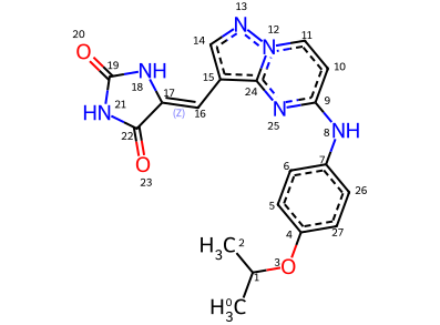 CC(C)Oc1ccc(Nc2ccn3ncc(/C=C4\NC(=O)NC4=O)c3n2)cc1